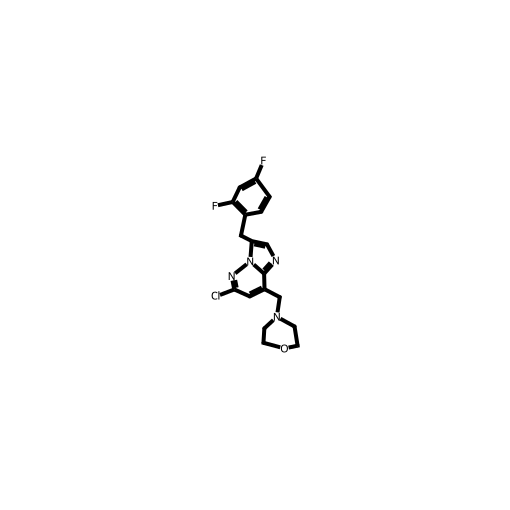 Fc1ccc(Cc2cnc3c(CN4CCOCC4)cc(Cl)nn23)c(F)c1